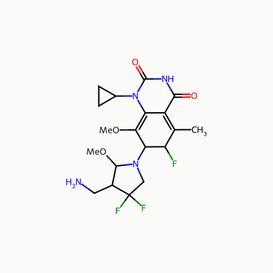 COC1=c2c(c(=O)[nH]c(=O)n2C2CC2)=C(C)C(F)C1N1CC(F)(F)C(CN)C1OC